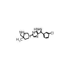 CC1(CN)CCN(c2cnc3c(-c4cccc(Cl)c4)n[nH]c3n2)CC1